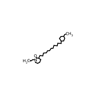 C=CCN1CCCCC(CCCCCCCCCCCCC2CCC(CC)CC2)C1=O